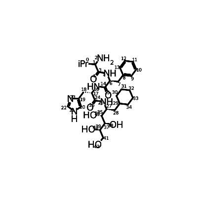 CC(C)C(N)C(=O)N[C@@H](Cc1ccccc1)C(=O)N[C@@H](Cc1c[nH]cn1)C(=O)N[C@@H](CC1CCCCC1)[C@@H](O)[C@@H](O)[C@H](O)CO